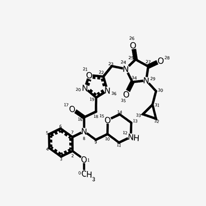 COc1ccccc1N(CC1CNCCO1)C(=O)Cc1noc(CN2C(=O)C(=O)N(CC3CC3)C2=O)n1